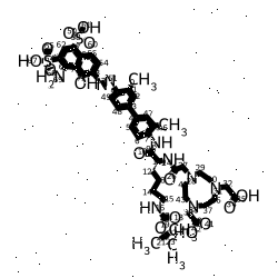 Cc1cc(-c2ccc(NC(=O)[C@@H](CCCCNC(=O)OC(C)(C)C)NC(=O)CN3CCN(CC(=O)O)CCN(CC(=O)O)CC3)c(C)c2)ccc1/N=N/c1ccc2c(S(=O)(=O)O)cc(S(=O)(=O)O)c(N)c2c1O